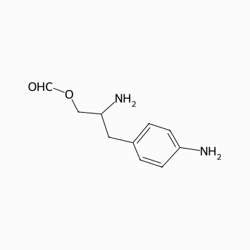 Nc1ccc(CC(N)COC=O)cc1